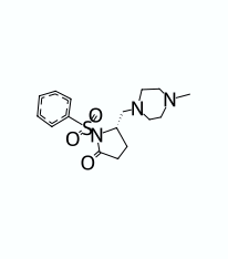 CN1CCN(C[C@@H]2CCC(=O)N2S(=O)(=O)c2ccccc2)CC1